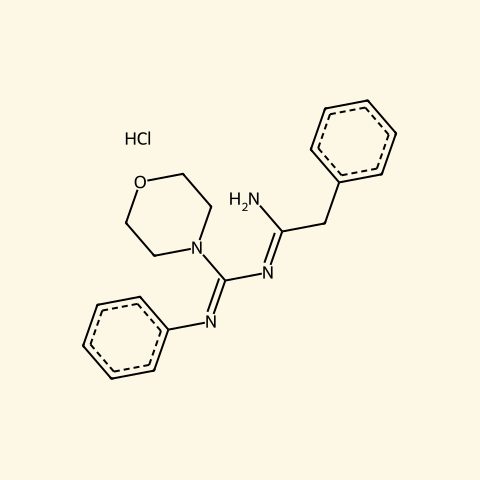 Cl.N/C(Cc1ccccc1)=N\C(=N\c1ccccc1)N1CCOCC1